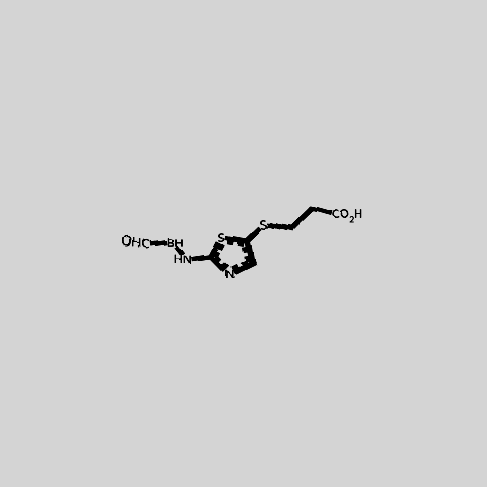 O=CBNc1ncc(SCCC(=O)O)s1